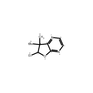 CCC1Oc2nccnc2C1(C)C(C)(C)C